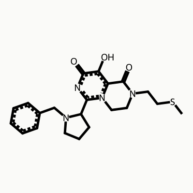 CSCCN1CCn2c(C3CCCN3Cc3ccccc3)nc(=O)c(O)c2C1=O